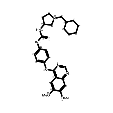 COc1cc2ncnc(Oc3ccc(NC(=O)NC4CCN(CC5CCCCC5)C4)cc3)c2cc1OC